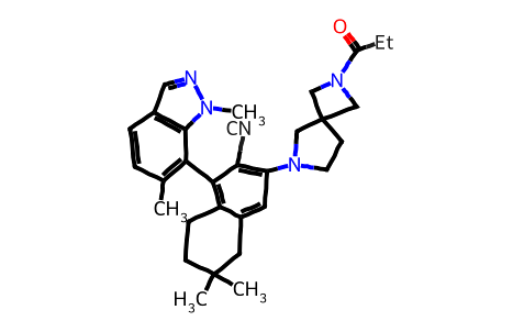 CCC(=O)N1CC2(CCN(c3cc4c(c(-c5c(C)ccc6cnn(C)c56)c3C#N)CCC(C)(C)C4)C2)C1